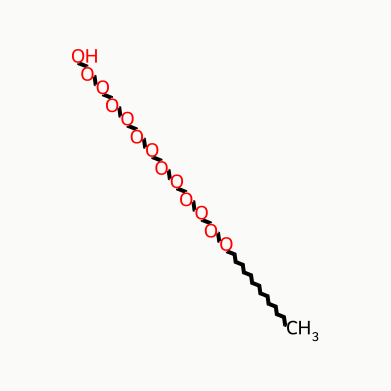 CCCCCCCCCCCCCCCCOCCOCCOCCOCCOCCOCCOCCOCCOCCOCCOCCOCCO